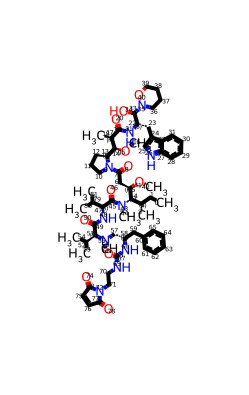 CC[C@H](C)[C@@H]([C@@H](CC(=O)N1CCC[C@H]1[C@H](OC)[C@@H](C)C(=O)N[C@@H](Cc1c[nH]c2ccccc12)C(O)N1CCCCO1)OC)N(C)C(=O)[C@@H](NC(=O)[C@H](C(C)C)N(C)C[C@H](Cc1ccccc1)NC(=O)NCCN1C(=O)C=CC1=O)C(C)C